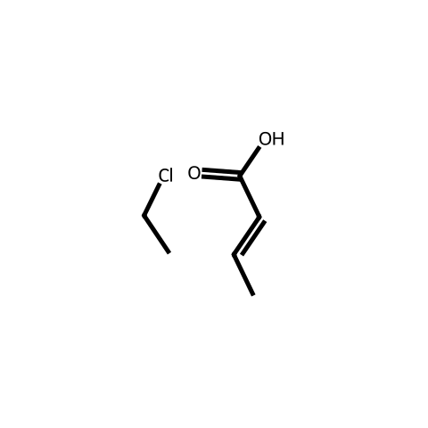 CC=CC(=O)O.CCCl